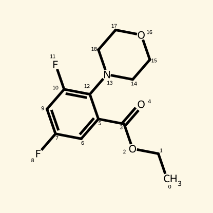 CCOC(=O)c1cc(F)cc(F)c1N1CCOCC1